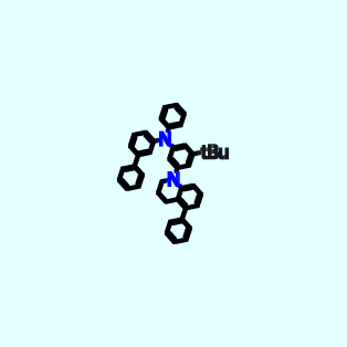 CC(C)(C)c1cc(N2CCCc3c(-c4ccccc4)cccc32)cc(N(c2ccccc2)c2cccc(-c3ccccc3)c2)c1